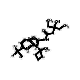 CCC(O)(CC)CC(=O)Nc1nc2ccc(C(F)(F)F)nc2n1C1(C)CCC1